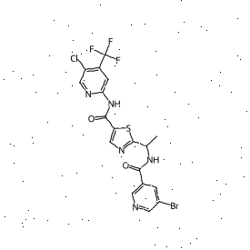 CC(NC(=O)c1cncc(Br)c1)c1ncc(C(=O)Nc2cc(C(F)(F)F)c(Cl)cn2)s1